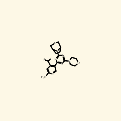 Nc1cc(C(F)F)c(-c2nc(N3CCOCC3)nc(N3C4CCC3COC4)n2)cn1